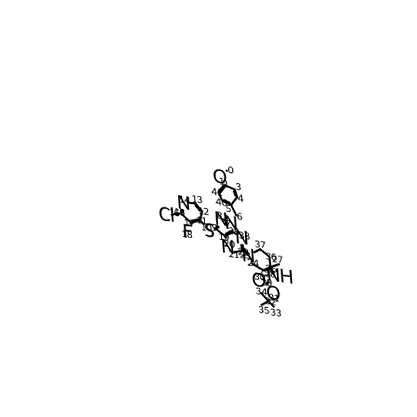 COc1ccc(Cn2nc(Sc3ccnc(Cl)c3F)c3ncc(N4CCC(C)(NC(=O)OC(C)(C)C)CC4)nc32)cc1